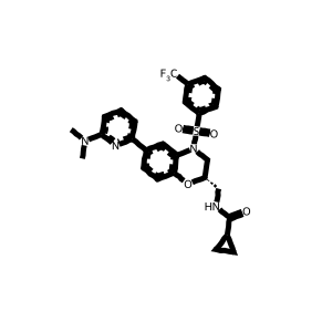 CN(C)c1cccc(-c2ccc3c(c2)N(S(=O)(=O)c2cccc(C(F)(F)F)c2)C[C@H](CNC(=O)C2CC2)O3)n1